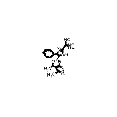 [C-]#[N+]C([N+]#[C-])c1nc(-c2ccccc2)c(/N=N/c2snc(C)c2C(N)=O)[nH]1